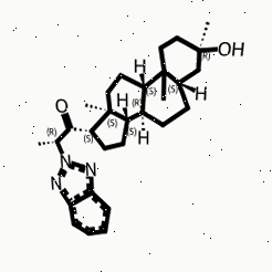 C[C@H](C(=O)[C@H]1CC[C@H]2[C@@H]3CC[C@H]4C[C@](C)(O)CCC4(C)[C@H]3CC[C@]12C)n1nc2ccccc2n1